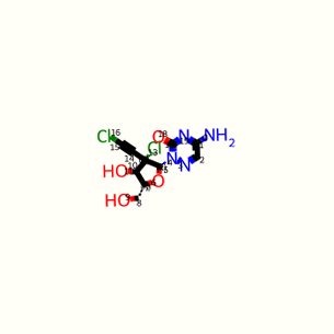 Nc1cnn([C@@H]2O[C@H](CO)C(O)[C@]2(Cl)C#CCl)c(=O)n1